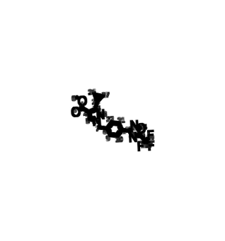 COC(=O)c1cn(Cc2ccc(-c3noc(C(F)(F)F)n3)cc2)nc1C1CC1